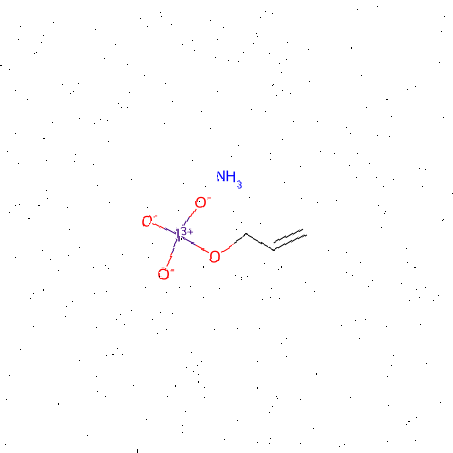 C=CCO[I+3]([O-])([O-])[O-].N